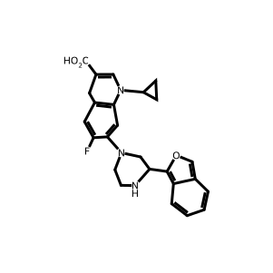 O=C(O)C1=CN(C2CC2)c2cc(N3CCNC(c4occ5ccccc45)C3)c(F)cc2C1